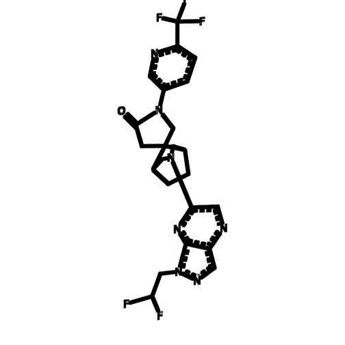 O=C1CC2(CN1c1ccc(C(F)(F)F)nc1)C1CCC2CN(c2cnc3cnn(CC(F)F)c3n2)C1